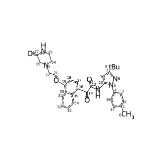 Cc1ccc(-n2nc(C(C)(C)C)cc2NC(=O)C(=O)c2ccc(OCCN3CCNC(=O)C3)c3ccccc23)cc1